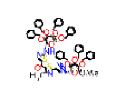 CO[C@H]1O[C@H](Cn2cc(-c3nc(C)c(C(=O)c4cnc(NC[C@H]5O[C@H](COCc6ccccc6)[C@@H](OCc6ccccc6)[C@H](OCc6ccccc6)[C@@H]5OCc5ccccc5)s4)s3)nn2)[C@@H](OCc2ccccc2)[C@H](OCc2ccccc2)[C@@H]1OCc1ccccc1